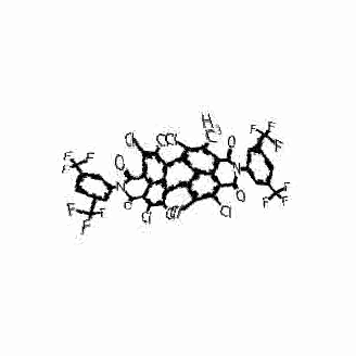 Cc1c2c3c(c(Cl)c(Cl)c4c5c(Cl)c(Cl)c6c7c(c(Cl)c(Cl)c(c(c1Cl)c34)c75)C(=O)N(c1cc(C(F)(F)F)cc(C(F)(F)F)c1)C6=O)C(=O)N(c1cc(C(F)(F)F)cc(C(F)(F)F)c1)C2=O